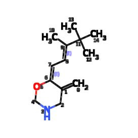 C=C1CNCO/C1=C/C=C(\C)C(C)(C)C